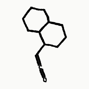 O=C=CC1CCCC2CCCCC12